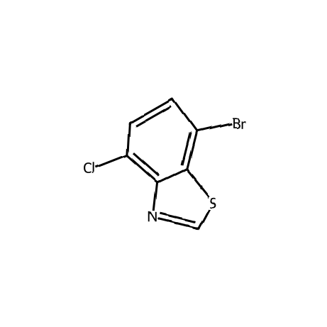 Clc1ccc(Br)c2scnc12